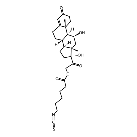 C[C@]12CCC(=O)C=C1CC[C@@H]1[C@@H]2[C@@H](O)C[C@@]2(C)[C@H]1CC[C@]2(O)C(=O)COC(=O)CCCCCN=C=S